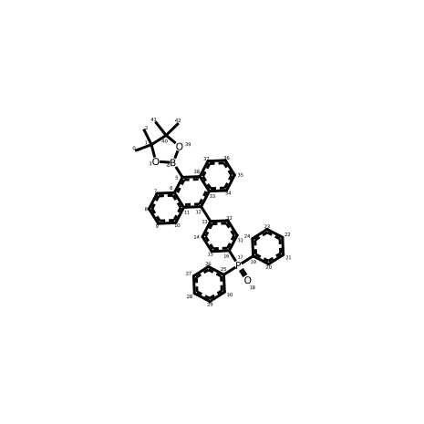 CC1(C)OB(c2c3ccccc3c(-c3ccc(P(=O)(c4ccccc4)c4ccccc4)cc3)c3ccccc23)OC1(C)C